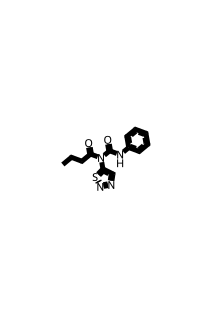 CCCC(=O)N(C(=O)Nc1ccccc1)c1cnns1